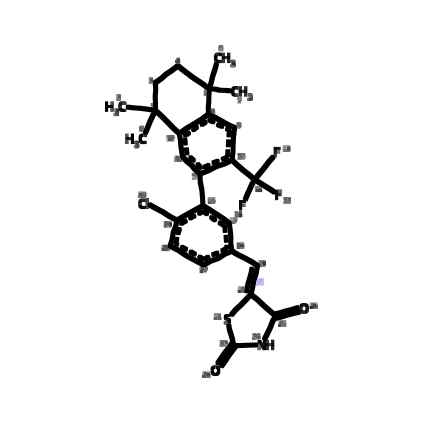 CC1(C)CCC(C)(C)c2cc(C(F)(F)F)c(-c3cc(/C=C4\SC(=O)NC4=O)ccc3Cl)cc21